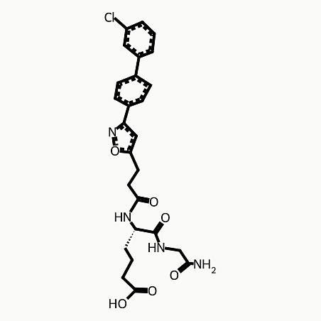 NC(=O)CNC(=O)[C@H](CCCC(=O)O)NC(=O)CCc1cc(-c2ccc(-c3cccc(Cl)c3)cc2)no1